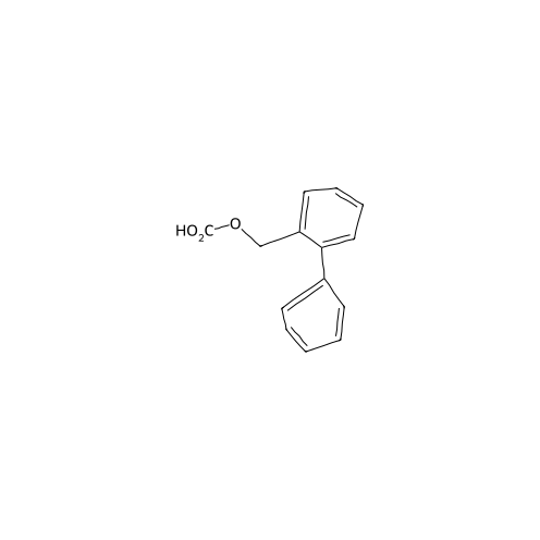 O=C(O)OCc1ccccc1-c1ccccc1